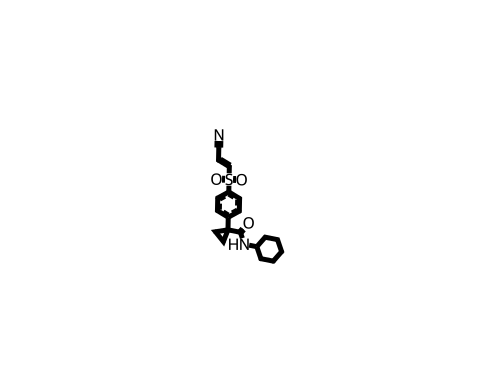 N#C/C=C/S(=O)(=O)c1ccc(C2(C(=O)NC3CCCCC3)CC2)cc1